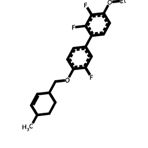 CCOc1ccc(-c2ccc(OCC3C=CC(C)CC3)c(F)c2)c(F)c1F